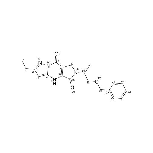 CCc1cc2[nH]c3c(c(=O)n2n1)CN(C(C)COCc1ccccc1)C3=O